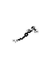 C[C@H](O)c1nccn1Cc1cc(-c2ccc(C#CCCCCN)cc2)on1